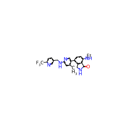 CCNc1ccc(-c2cnc(NCc3ccc(C(F)(F)F)nc3)cc2C)c2c1C(=O)NC2